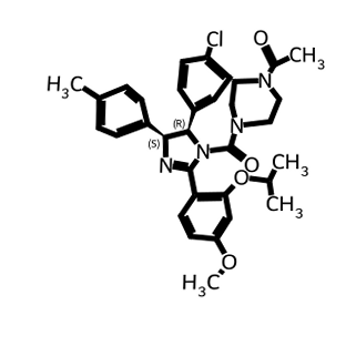 COc1ccc(C2=N[C@@H](c3ccc(C)cc3)[C@@H](c3ccc(Cl)cc3)N2C(=O)N2CCN(C(C)=O)CC2)c(OC(C)C)c1